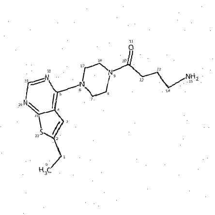 CCc1cc2c(N3CCN(C(=O)CCCN)CC3)ncnc2s1